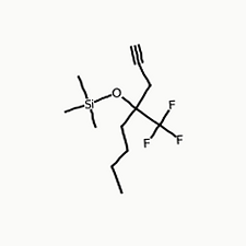 C#CCC(CCCC)(O[Si](C)(C)C)C(F)(F)F